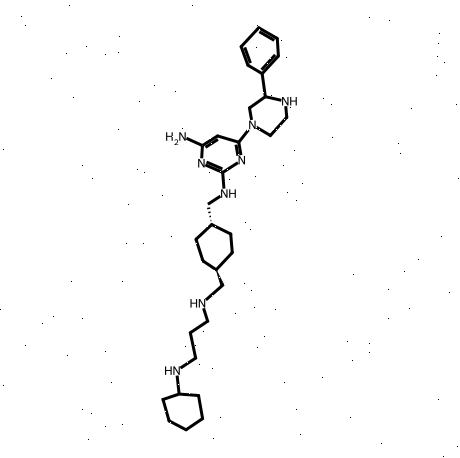 Nc1cc(N2CCNC(c3ccccc3)C2)nc(NC[C@H]2CC[C@H](CNCCCNC3CCCCC3)CC2)n1